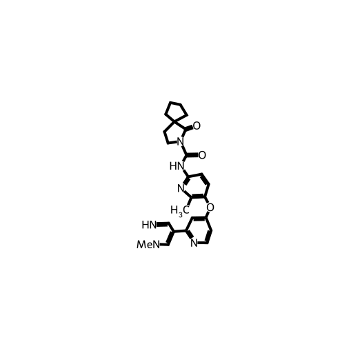 CN/C=C(\C=N)c1cc(Oc2ccc(NC(=O)N3CCC4(CCCC4)C3=O)nc2C)ccn1